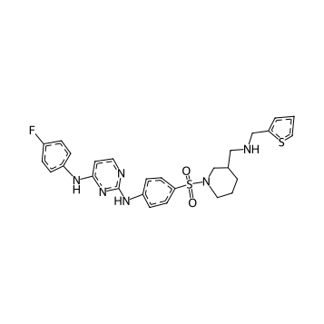 O=S(=O)(c1ccc(Nc2nccc(Nc3ccc(F)cc3)n2)cc1)N1CCCC(CNCc2cccs2)C1